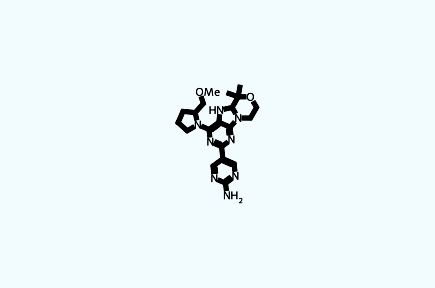 COCC1CCCN1c1nc(-c2cnc(N)nc2)nc2c1NC1N2CCOC1(C)C